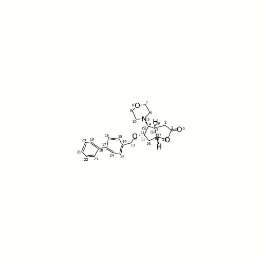 O=C1C[C@H]2[C@H](N3CCOCC3)[C@@H](OCc3ccc(-c4ccccc4)cc3)C[C@H]2O1